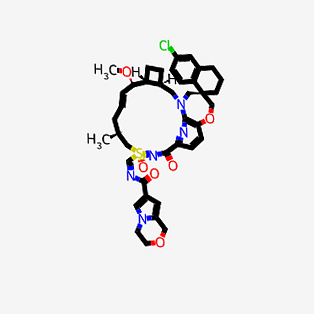 CO[C@H]1/C=C/C[C@H](C)CS(=O)(/C=N\C(=O)c2cc3n(c2)CCOC3)=NC(=O)c2ccc3c(n2)N(C[C@@H]2CC[C@H]21)C[C@@]1(CCCc2cc(Cl)ccc21)CO3